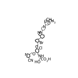 CC1(C)OCC(N2CCC(n3ncc4c(-c5cccc(COc6cc(OCc7cncc(C#N)c7)c(CNC(CO)C(=O)O)cc6Cl)c5Br)cccc43)CC2)CO1